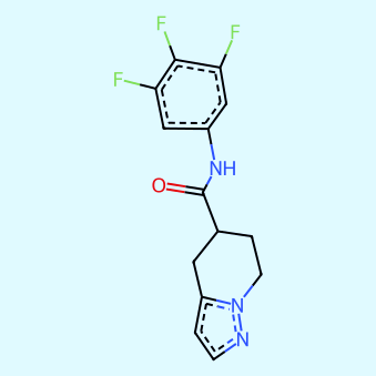 O=C(Nc1cc(F)c(F)c(F)c1)C1CCn2nccc2C1